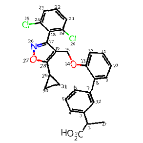 CC(C(=O)O)c1cccc(-c2ccccc2OCc2c(-c3c(Cl)cccc3Cl)noc2C2CC2)c1